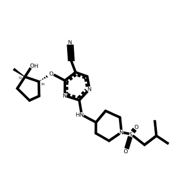 CC(C)CS(=O)(=O)N1CCC(Nc2ncc(C#N)c(O[C@@H]3CCC[C@]3(C)O)n2)CC1